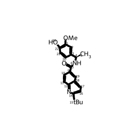 COc1cc([C@@H](C)NC(=O)c2ccc3nc(C(C)(C)C)ccc3c2)ccc1O